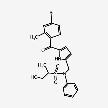 Cc1cc(Br)ccc1C(=O)c1ccc(CN(c2ccccc2)S(=O)(=O)C(C)CO)[nH]1